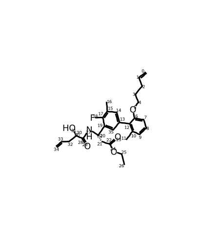 C=CCCCOc1cccc(C)c1-c1cc(C)c(F)c([C@H](CC(=O)OCC)NC(=O)[C@H](O)CC=C)c1